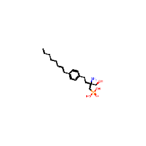 CCCCCCCCc1ccc(CCC(N)(CO)CP(=O)(O)O)cc1